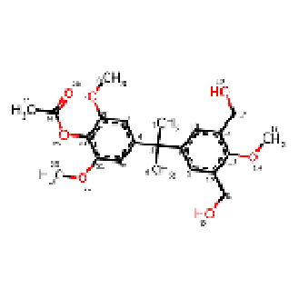 COc1cc(C(C)(C)c2cc(CO)c(OC)c(CO)c2)cc(OC)c1OC(C)=O